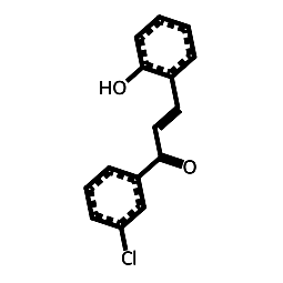 O=C(C=Cc1ccccc1O)c1cccc(Cl)c1